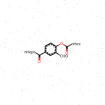 CCCCCCCC(=O)c1ccc(OC(=O)CCCCCC)c(C=O)c1